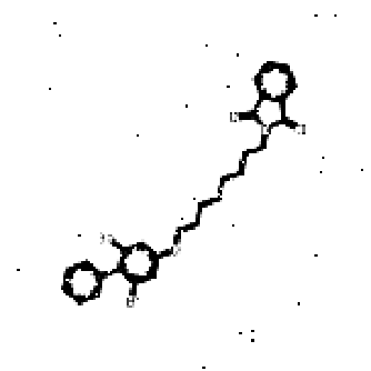 O=C1c2ccccc2C(=O)N1CCCCCCCCOc1cc(Br)c(-c2ccccc2)c(Br)c1